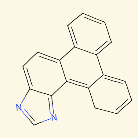 C1=CCc2c(c3ccccc3c3ccc4c(c23)=NC=N4)=C1